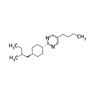 CCCCc1cnc([C@H]2CC[C@H](CC(C)CC)CC2)nc1